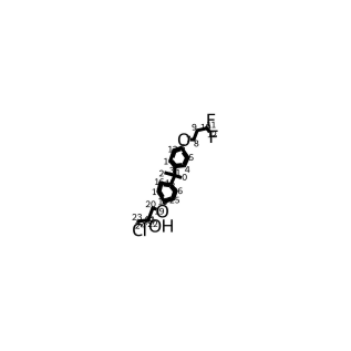 CC(C)(c1ccc(OCCC(F)F)cc1)c1ccc(OC[C@H](O)CCl)cc1